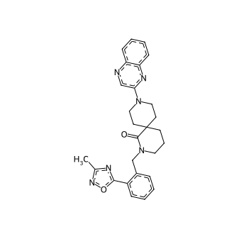 Cc1noc(-c2ccccc2CN2CCCC3(CCN(c4cnc5ccccc5n4)CC3)C2=O)n1